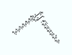 N.O.O.O.O.O.O.O.O.O.O.O.O.O=S(=O)(O)O.[CH3][AlH2]